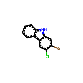 Clc1cc2c(cc1Br)[nH]c1ccccc12